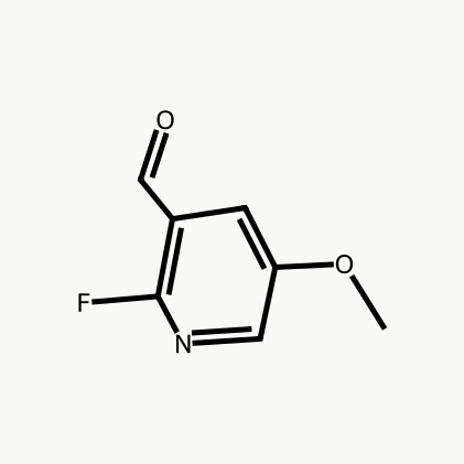 COc1cnc(F)c(C=O)c1